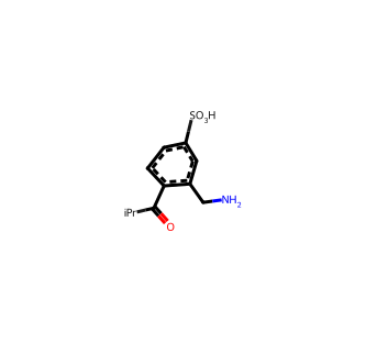 CC(C)C(=O)c1ccc(S(=O)(=O)O)cc1CN